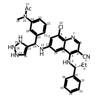 CC[C@@H](Nc1c(C#N)cnc2c(Cl)cc(N[C@H](C3=CNNN3)c3cccc(N(C)C(C)=O)c3)cc12)c1ccccc1